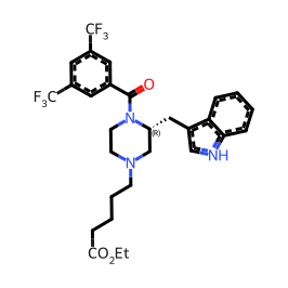 CCOC(=O)CCCCN1CCN(C(=O)c2cc(C(F)(F)F)cc(C(F)(F)F)c2)[C@H](Cc2c[nH]c3ccccc23)C1